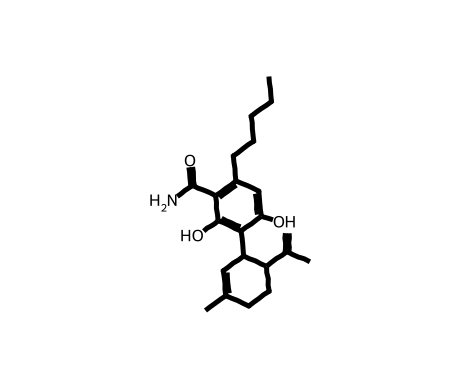 C=C(C)C1CCC(C)=CC1c1c(O)cc(CCCCC)c(C(N)=O)c1O